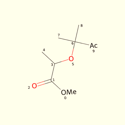 COC(=O)C(C)OC(C)(C)C(C)=O